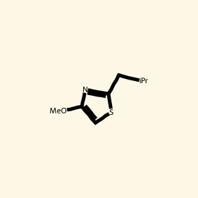 COc1csc(CC(C)C)n1